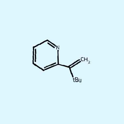 C=C(c1ccccn1)C(C)(C)C